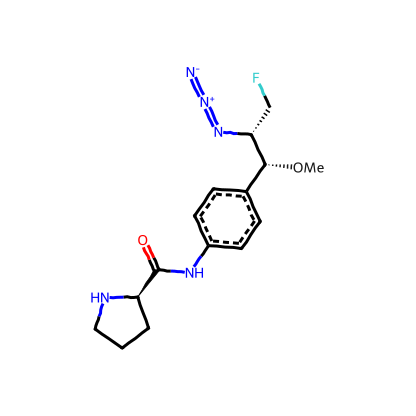 CO[C@H](c1ccc(NC(=O)[C@H]2CCCN2)cc1)[C@@H](CF)N=[N+]=[N-]